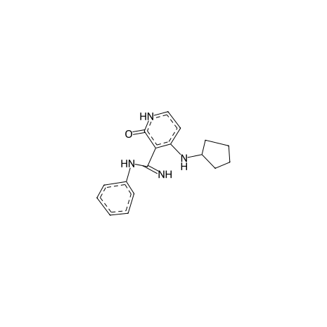 N=C(Nc1ccccc1)c1c(NC2CCCC2)cc[nH]c1=O